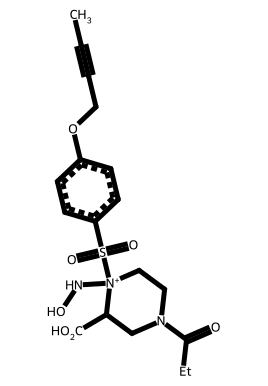 CC#CCOc1ccc(S(=O)(=O)[N+]2(NO)CCN(C(=O)CC)CC2C(=O)O)cc1